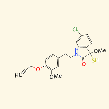 C#CCOc1ccc(CCNC(=O)C(S)(OC)c2ccc(Cl)cc2)cc1OC